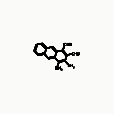 Nc1c(C=O)c(C=O)c2cc3ccccc3cc2c1N